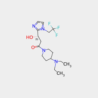 CCN(CC)C1CCN(C(=O)C[C@H](O)c2nccn2CC(F)(F)F)CC1